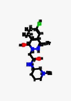 CCN1CCC[C@@H](NC(=O)Cn2nc(C(C)C)c(/C=C(\C)Cl)c(C)c2=O)C1